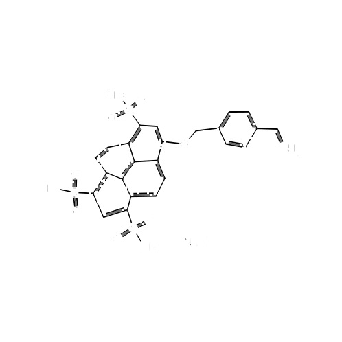 C=Cc1ccc(COc2cc(S(=O)(=O)O)c3ccc4c(S(=O)(=O)O)cc(S(=O)(=O)O)c5ccc2c3c54)cc1.[NaH]